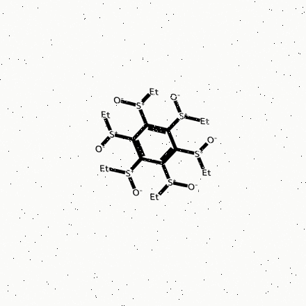 CC[S+]([O-])c1c([S+]([O-])CC)c([S+]([O-])CC)c([S+]([O-])CC)c([S+]([O-])CC)c1[S+]([O-])CC